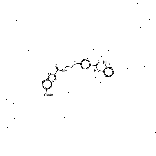 COc1ccc2oc(C(=O)NCCOc3ccc(C(=O)Nc4ccccc4N)cc3)cc2c1